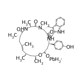 C/C1=C\[C@H](C)C[C@H](C)OC(=O)C[C@H](c2ccc(O)cc2)NC(=O)[C@@H](Cc2c(Br)[nH]c3ccccc23)N(C)C(=O)[C@H](C)NC(=O)[C@@H](C)C1.[PbH2]